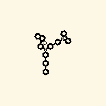 c1ccc(-c2ccc(-c3ccc(N(c4ccc(-c5ccc(-n6c7ccccc7c7ccccc76)cc5)cc4)c4cccc5c4oc4ccc6ccccc6c45)cc3)cc2)cc1